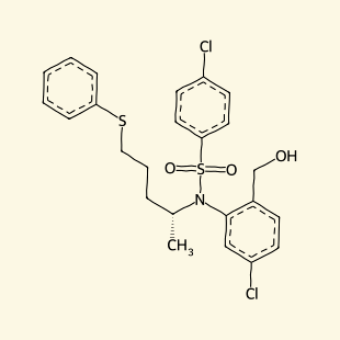 C[C@H](CCCSc1ccccc1)N(c1cc(Cl)ccc1CO)S(=O)(=O)c1ccc(Cl)cc1